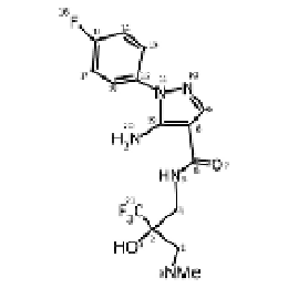 CNCC(O)(CNC(=O)c1cnn(-c2ccc(F)cc2)c1N)C(F)(F)F